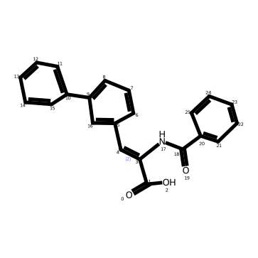 O=C(O)/C(=C/c1cccc(-c2ccccc2)c1)NC(=O)c1ccccc1